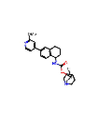 COc1cc(-c2ccc3c(c2)CCCC3NC(=O)O[C@H]2CN3CCC2CC3)ccn1